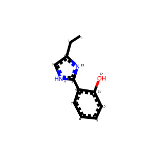 CCc1c[nH]c(-c2ccccc2O)n1